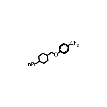 CCCC1CCC(COc2ccc(C(F)(F)F)cc2)CC1